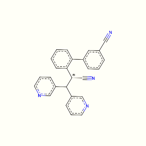 N#Cc1cccc(-c2ccccc2[C@H](C#N)C(c2cccnc2)c2cccnc2)c1